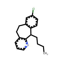 CCCCC1c2ccc(Cl)cc2CCc2cccnc21